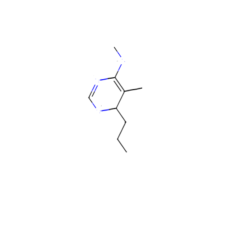 CCCC1NC=NC(NC)=C1C